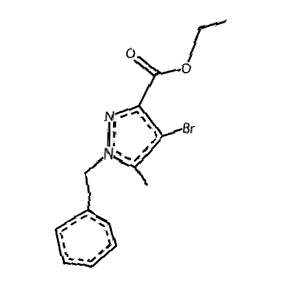 CCOC(=O)c1nn(Cc2ccccc2)c(C)c1Br